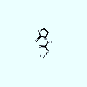 COC(=O)N[C@H]1CCOC1=O